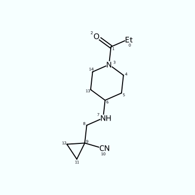 CCC(=O)N1CCC(NCC2(C#N)CC2)CC1